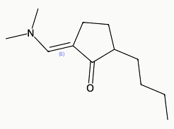 CCCCC1CC/C(=C\N(C)C)C1=O